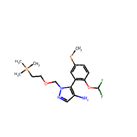 CSc1ccc(OC(F)F)c(-c2c(N)cnn2COCCS(C)(C)C)c1